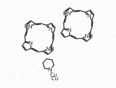 C1=Cc2cc3ccc(cc4nc(cc5ccc(cc1n2)[nH]5)C=C4)[nH]3.C1=Cc2cc3ccc(cc4nc(cc5ccc(cc1n2)[nH]5)C=C4)[nH]3.[Cu].[Cu][N]1CCCCC1